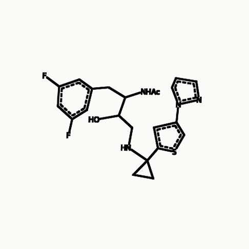 CC(=O)NC(Cc1cc(F)cc(F)c1)C(O)CNC1(c2cc(-n3cccn3)cs2)CC1